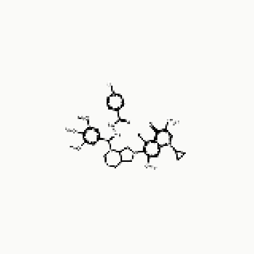 COc1cc(C(NNC(=O)c2ccc(Cl)cc2)N2CCCC3CN(c4c(OC)cc5c(c4F)c(=O)c(C(=O)O)cn5C4CC4)CC32)cc(OC)c1OC